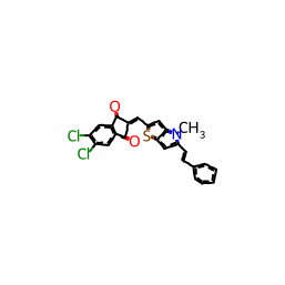 Cn1c(/C=C/c2ccccc2)cc2sc(C=C3C(=O)c4cc(Cl)c(Cl)cc4C3=O)cc21